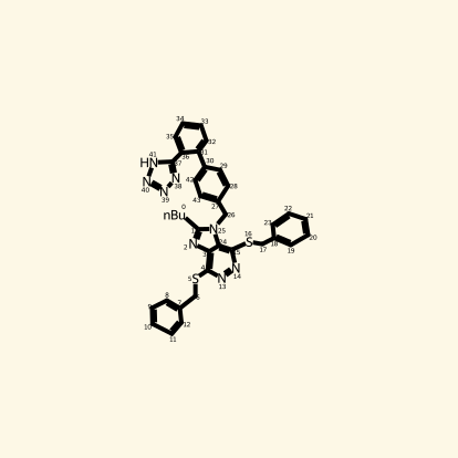 CCCCc1nc2c(SCc3ccccc3)nnc(SCc3ccccc3)c2n1Cc1ccc(-c2ccccc2-c2nnn[nH]2)cc1